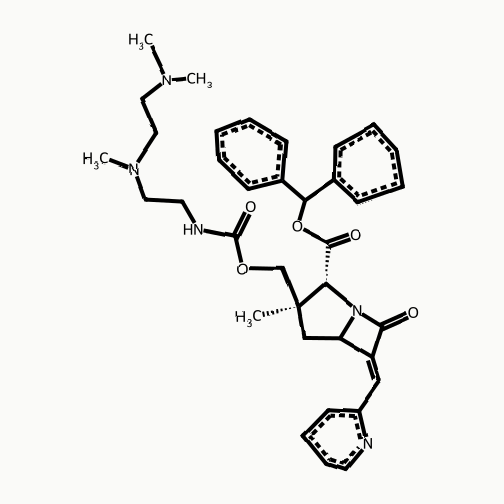 CN(C)CCN(C)CCNC(=O)OC[C@]1(C)CC2/C(=C\c3ccccn3)C(=O)N2[C@H]1C(=O)OC(c1ccccc1)c1ccccc1